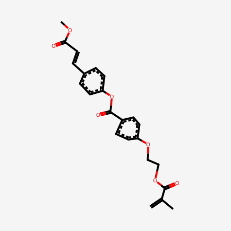 C=C(C)C(=O)OCCOc1ccc(C(=O)Oc2ccc(/C=C/C(=O)OC)cc2)cc1